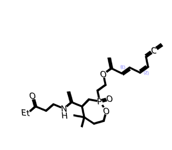 C=C=C/C=C\C=C\C(=C)OCCP1(=O)CC(C(=C)NCCC(=O)CC)C(C)(C)CCO1